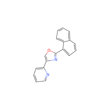 c1ccc(-c2coc(-c3cccc4ccccc34)n2)nc1